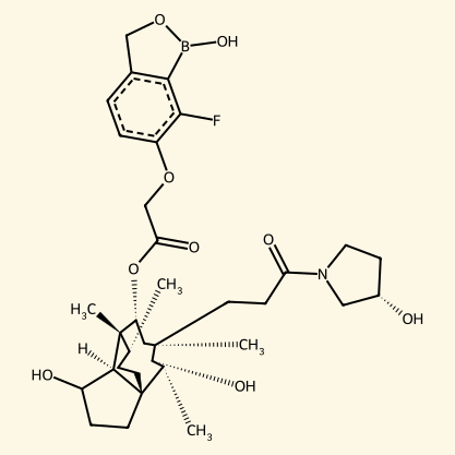 C[C@@H]1CC[C@@]23CCC(O)[C@H]2[C@]1(C)[C@H](OC(=O)COc1ccc2c(c1F)B(O)OC2)C[C@@](C)(CCC(=O)N1CC[C@H](O)C1)[C@@H](O)[C@@H]3C